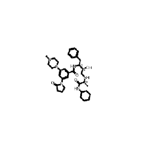 C[C@H](NC[C@H](O)[C@H](Cc1ccccc1)NC(=O)c1cc(N2CCN(C)CC2)cc(N2CCCC2=O)c1)C(=O)NC1CCCCC1